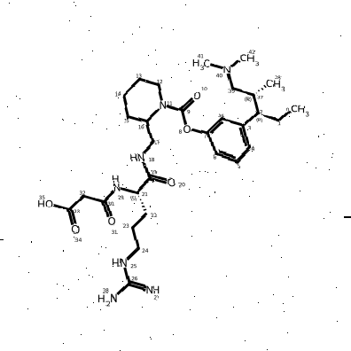 CC[C@@H](c1cccc(OC(=O)N2CCCCC2CNC(=O)[C@H](CCCNC(=N)N)NC(=O)CC(=O)O)c1)[C@@H](C)CN(C)C